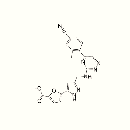 COC(=O)c1ccc(-c2cc(CNc3nncc(-c4ccc(C#N)cc4C)n3)n[nH]2)o1